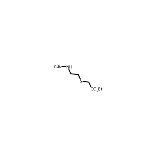 CCCCNCCSCC(=O)OCC